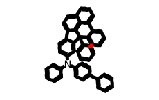 c1ccc(-c2ccc(N(c3ccccc3)c3ccc4c(c3)C3(c5ccccc5)c5ccccc5-c5cccc6ccc-4c3c56)cc2)cc1